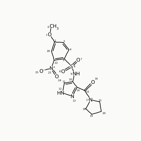 COc1ccc(S(=O)(=O)Nc2c[nH]nc2C(=O)N2CCCC2)c([N+](=O)[O-])c1